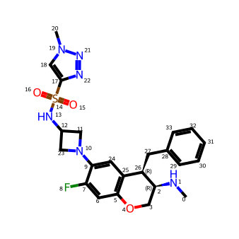 CN[C@H]1COc2cc(F)c(N3CC(NS(=O)(=O)c4cn(C)nn4)C3)cc2[C@H]1Cc1ccccc1